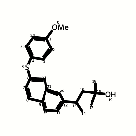 COc1ccc(Sc2ccc3ccc(C(C)CC(C)(C)O)cc3c2)cc1